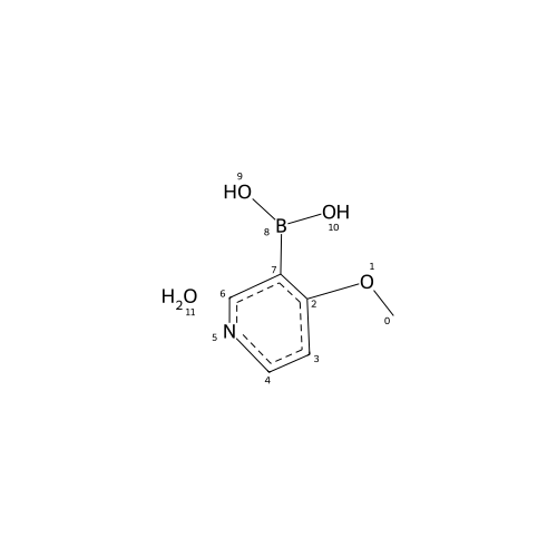 COc1ccncc1B(O)O.O